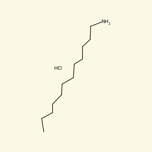 CCCCCCCCCCCCN.Cl